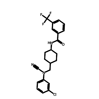 N#CN(CC1CCC(NC(=O)c2cccc(C(F)(F)F)c2)CC1)c1cccc(Cl)c1